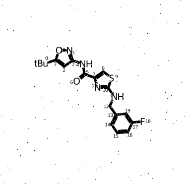 CC(C)(C)c1cc(NC(=O)c2csc(NCc3cccc(F)c3)n2)no1